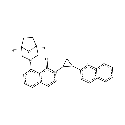 O=c1c2c(N3C[C@H]4CC[C@@H](C3)O4)cccc2ccn1C1CC1c1ccc2ccccc2n1